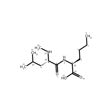 CCCC[C@H](NC(=O)[C@H](CC(C)C)NC)C(=O)O